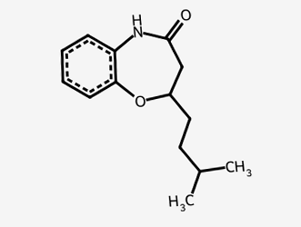 CC(C)CCC1CC(=O)Nc2ccccc2O1